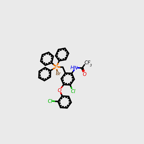 O=C(Nc1cc(Cl)c(Oc2ccccc2Cl)cc1CP(Br)(c1ccccc1)(c1ccccc1)c1ccccc1)C(F)(F)F